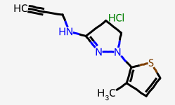 C#CCNC1=NN(c2sccc2C)CC1.Cl